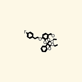 CCOC(=O)C(Oc1cc(C=O)ccc1OCCc1ccc(F)cc1)(C(=O)OCC)c1ccccc1